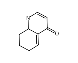 O=C1C=C[N]C2CCCC=C12